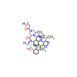 C=CC(=O)N1CC(C)N2c3nc(=O)n(-c4c(C(C)C)ncnc4C(C)C)c4c(Cl)c(-c5c(O)cccc5F)c(F)c(c34)N(C)C(=O)C2C1